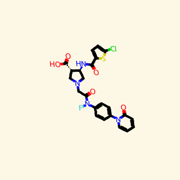 O=C(N[C@H]1CN(CC(=O)N(F)c2ccc(-n3ccccc3=O)cc2)C[C@@H]1C(=O)O)c1ccc(Cl)s1